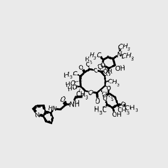 COC1(C)CC(O[C@H]2[C@H](C)[C@@H](OC3OC(C)CC(N(C)C)C3O)[C@](C)(O)C[C@@H](C)C(=O)[C@H](C)[C@@H](O)[C@](C)(O)[C@@H](CCNC(=O)CNc3cccc4ncccc34)OC(=O)[C@@H]2C)OC(C)C1O